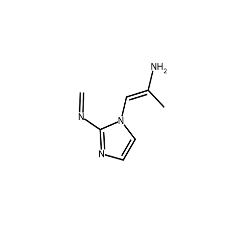 C=Nc1nccn1/C=C(\C)N